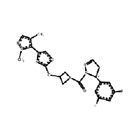 Cc1cnn(C)c1-c1csc(OC2CN(C(=O)N3N=CC[C@H]3c3cc(F)cc(F)c3)C2)n1